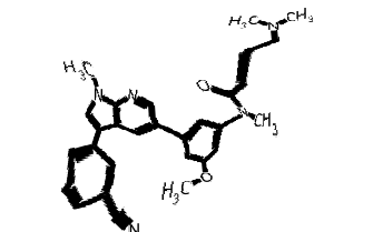 COc1cc(-c2cnc3c(c2)c(-c2cccc(C#N)c2)cn3C)cc(N(C)C(=O)/C=C/CN(C)C)c1